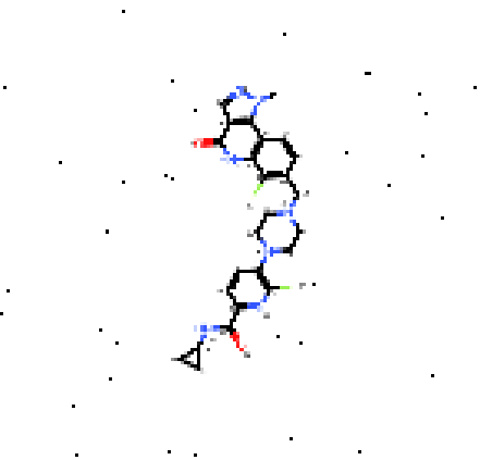 Cn1ncc2c(=O)[nH]c3c(F)c(CN4CCN(c5ccc(C(=O)NC6CC6)nc5F)CC4)ccc3c21